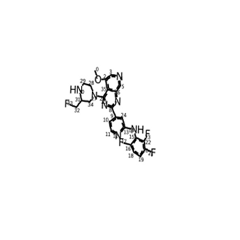 COc1cncc2nc(-c3ccnc(Nc4c(F)ccc(F)c4F)c3)nc(N3CCNC(CF)C3)c12